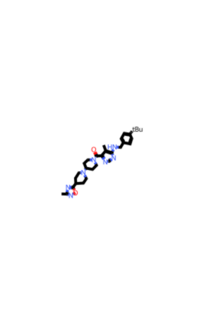 Cc1noc(C2CCN(C3CCN(C(=O)c4ncnc(NCc5ccc(C(C)(C)C)cc5)c4C)CC3)CC2)n1